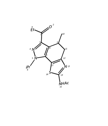 CCC(=O)c1nn(C(C)C)c2c1C(C)Cc1nc(NC(C)=O)sc1-2